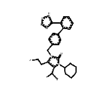 CC(C)CCc1c(C(F)F)n(C2CCCCC2)c(=O)n1Cc1ccc(-c2ccccc2-c2nnn[nH]2)cc1